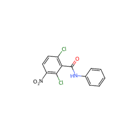 O=C(Nc1ccccc1)c1c(Cl)ccc([N+](=O)[O-])c1Cl